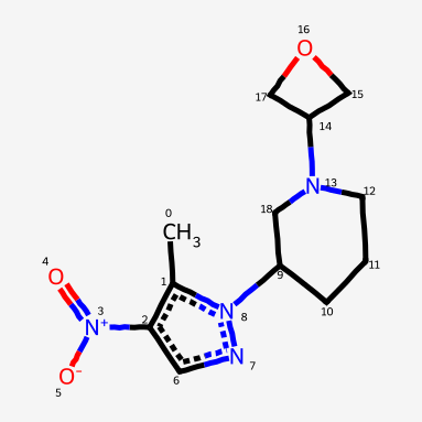 Cc1c([N+](=O)[O-])cnn1C1CCCN(C2COC2)C1